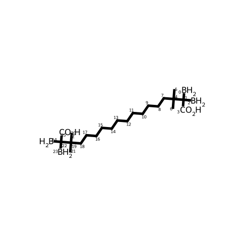 BC(B)(C(=O)O)C(C)(C)CCCCCCCCCCCCC(C)(C)C(B)(B)C(=O)O